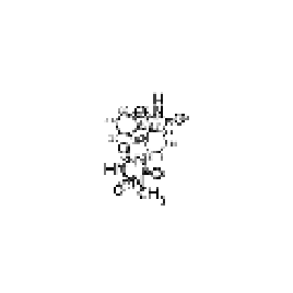 Cn1c(=O)[nH]c(=O)n(C2CCC3C(=O)NC(=O)C3(c3ccccc3)C2)c1=O